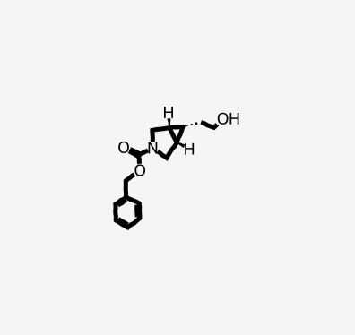 O=C(OCc1ccccc1)N1C[C@@H]2[C@H](CCO)[C@@H]2C1